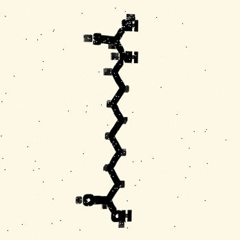 O=C(O)CCCCCCCCNC(=S)S